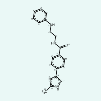 O=C(NCCNc1ccccc1)c1ccc(-c2noc(C(F)(F)F)n2)cc1